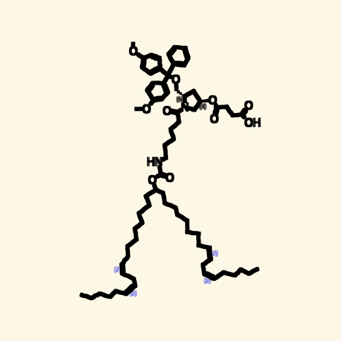 CCCCC/C=C\C/C=C\CCCCCCCCC(CCCCCCCC/C=C\C/C=C\CCCCC)OC(=O)NCCCCCC(=O)N1C[C@H](OC(=O)CCC(=O)O)C[C@H]1COC(c1ccccc1)(c1ccc(OC)cc1)c1ccc(OC)cc1